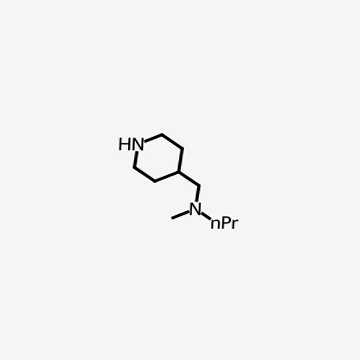 CCCN(C)CC1CCNCC1